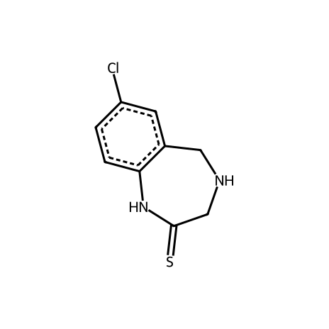 S=C1CNCc2cc(Cl)ccc2N1